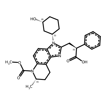 COC(=O)N1c2ccc3c(nc(C[C@H](C(=O)O)c4ccccc4)n3[C@H]3CCC[C@@H](O)C3)c2CC[C@@H]1C